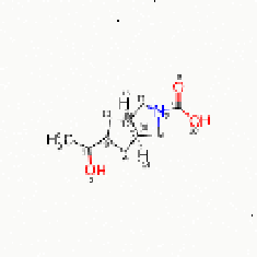 CC(O)C1C[C@@H]2CN(C(=O)O)C[C@@H]2C1